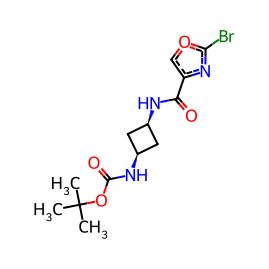 CC(C)(C)OC(=O)N[C@H]1C[C@@H](NC(=O)c2coc(Br)n2)C1